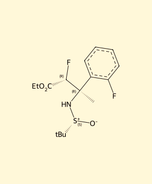 CCOC(=O)[C@H](F)[C@](C)(N[S@+]([O-])C(C)(C)C)c1ccccc1F